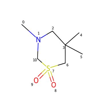 CN1CC(C)(C)CS(=O)(=O)C1